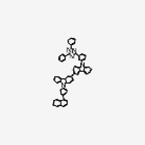 C1=CC2C(C=C1c1ccc3c(c1)c1ccccc1n3-c1cccc(-c3nc(-c4ccccc4)nc(-c4ccccc4)n3)c1)c1ccccc1N2c1ccc(-c2cccc3ccccc23)cc1